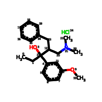 CCC(O)(c1cccc(OC)c1)C(Cc1ccccc1)CN(C)C.Cl